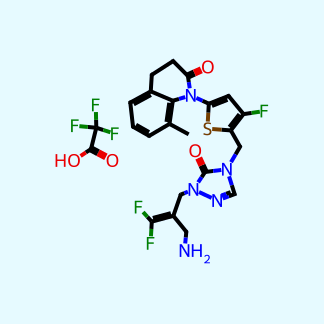 Cc1cccc2c1N(c1cc(F)c(Cn3cnn(CC(CN)=C(F)F)c3=O)s1)C(=O)CC2.O=C(O)C(F)(F)F